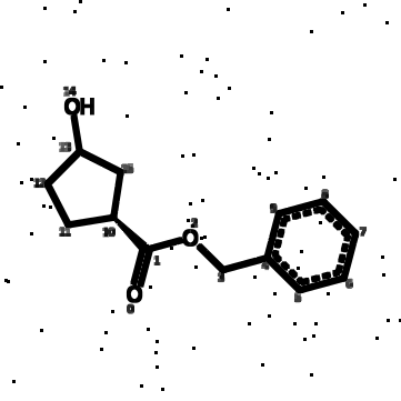 O=C(OCc1ccccc1)[C@H]1CCC(O)C1